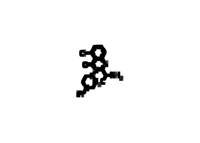 CC(N)c1nc2cccc(Cl)c2c(=O)n1N1CCN(C(C)C)CC1